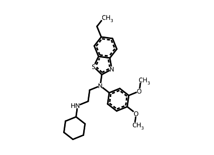 CCc1ccc2nc(N(CCNC3CCCCC3)c3ccc(OC)c(OC)c3)sc2c1